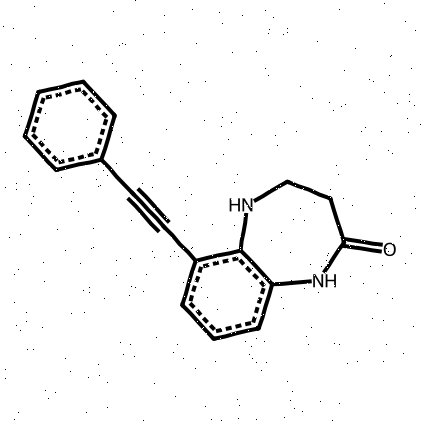 O=C1CCNc2c(C#Cc3ccccc3)cccc2N1